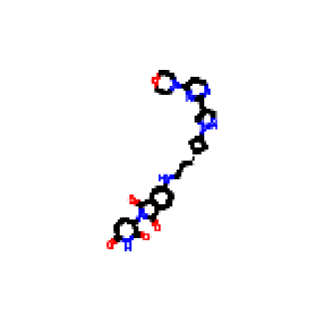 O=C1CCC(N2C(=O)c3ccc(NCCC[C@H]4C[C@H](n5cc(-c6nccc(N7CCOCC7)n6)cn5)C4)cc3C2=O)C(=O)N1